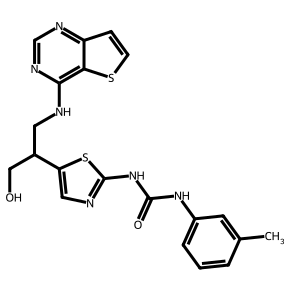 Cc1cccc(NC(=O)Nc2ncc(C(CO)CNc3ncnc4ccsc34)s2)c1